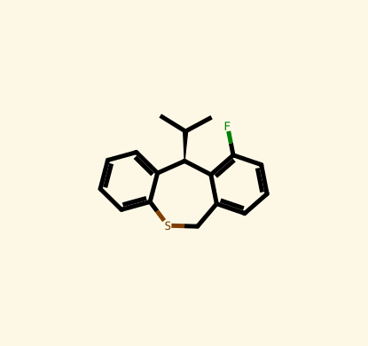 CC(C)[C@@H]1c2ccccc2SCc2cccc(F)c21